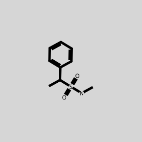 C[N]S(=O)(=O)C(C)c1ccccc1